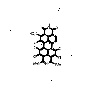 CNC(=N)c1c(Cl)c(Cl)c2c3ccc4c5c(c(C(=O)O)c(Cl)c(c6c(Cl)c(Cl)c(C(=O)NC)c1c26)c53)C(=O)NC4=O